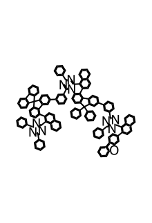 c1ccc(-c2nc(-c3cccc(-c4ccc5c(c4)C(c4ccccc4)(c4ccccc4)c4cccc(-c6ccc7ccccc7c6-c6nc(-c7ccccc7)nc(-c7cccc(-c8ccc9c(c8)-c8c(-c%10ccc%11ccccc%11c%10-c%10nc(-c%11ccccc%11)nc(-c%11ccccc%11)n%10)cccc8C98c9ccccc9-c9ccccc98)c7)n6)c4-5)c3)nc(-c3c(-c4ccc5c(c4)oc4ccccc45)ccc4ccccc34)n2)cc1